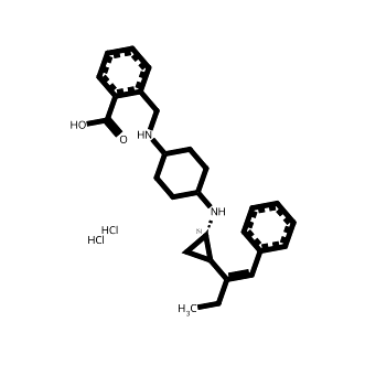 CCC(=Cc1ccccc1)C1C[C@@H]1NC1CCC(NCc2ccccc2C(=O)O)CC1.Cl.Cl